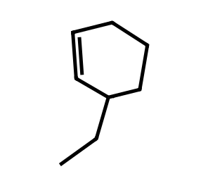 CC[C]1C=CCCC1